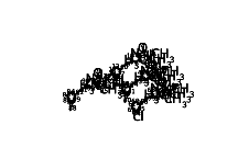 CCN(C(=O)c1ccc(C#Cc2cccc(Cl)c2)cn1)C(C)(C)C.CCN(C(=O)c1ccc(C#Cc2cccc(F)c2)cn1)C(C)(C)C.CCN(C(=O)c1ncc(C#Cc2cccc(Cl)c2)cn1)C(C)(C)C.CCN(C(=O)c1ncc(C#Cc2cccc(F)c2)cn1)C(C)(C)C